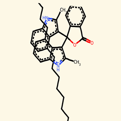 CCCCCCCCc1cccc2[nH]c(C)c(C3(c4c(C)[nH]c5cccc(CCCC)c45)OC(=O)c4ccccc43)c12